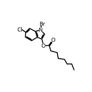 CCCCCCCC(=O)Oc1cn(Br)c2cc(Cl)ccc12